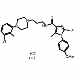 CCCc1nc(C(=O)NCCCN2CCN(c3cccc(Cl)c3C)CC2)c(C)n1-c1ccc(OC)cc1.Cl.Cl